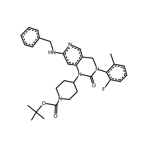 Cc1cccc(F)c1N1Cc2cnc(NCc3ccccc3)cc2N(C2CCN(C(=O)OC(C)(C)C)CC2)C1=O